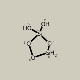 O[Si]1(O)OO[SiH2]O1